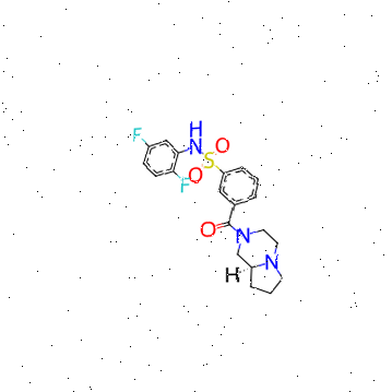 O=C(c1cccc(S(=O)(=O)Nc2cc(F)ccc2F)c1)N1CCN2CCC[C@H]2C1